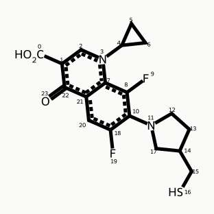 O=C(O)c1cn(C2CC2)c2c(F)c(N3CCC(CS)C3)c(F)cc2c1=O